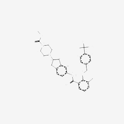 COC(=O)N1CCN(C2Cc3ccc(NC(=O)c4cccc(C)c4OCc4ccc(C(F)(F)F)cc4)cc3C2)CC1